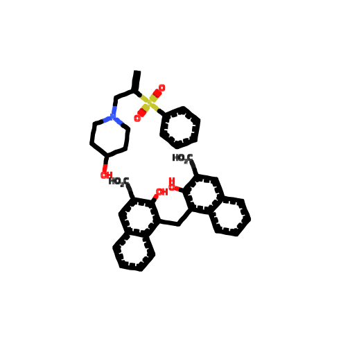 C=C(CN1CCC(O)CC1)S(=O)(=O)c1ccccc1.O=C(O)c1cc2ccccc2c(Cc2c(O)c(C(=O)O)cc3ccccc23)c1O